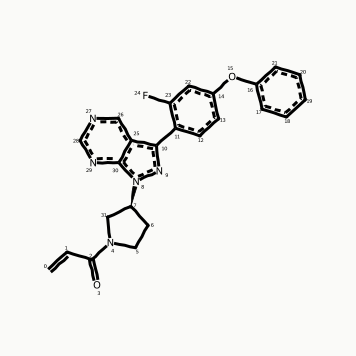 C=CC(=O)N1CC[C@H](n2nc(-c3ccc(Oc4ccccc4)cc3F)c3cncnc32)C1